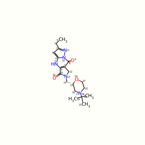 CCc1cc2[nH]c3c(c(=O)n2n1)CN(C[C@H]1CN(C(C)(C)C)CCO1)C3=O